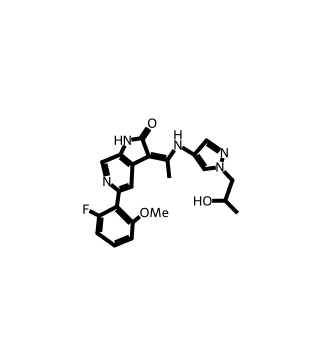 COc1cccc(F)c1-c1cc2c(cn1)NC(=O)C2=C(C)Nc1cnn(CC(C)O)c1